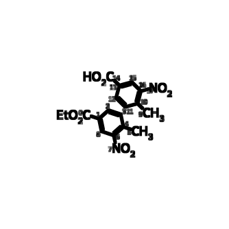 CCOC(=O)c1ccc(C)c([N+](=O)[O-])c1.Cc1ccc(C(=O)O)cc1[N+](=O)[O-]